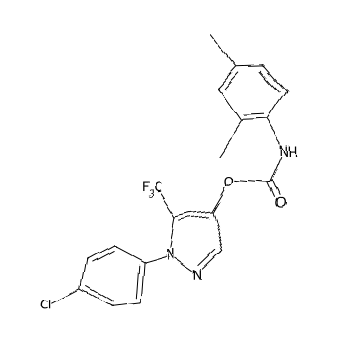 Cc1ccc(NC(=O)Oc2cnn(-c3ccc(Cl)cc3)c2C(F)(F)F)c(C)c1